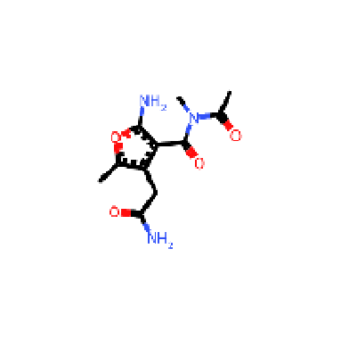 CC(=O)N(C)C(=O)c1c(N)oc(C)c1CC(N)=O